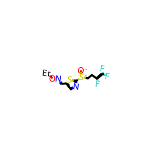 CCON=Cc1cnc([S+]([O-])CCC(F)=C(F)F)s1